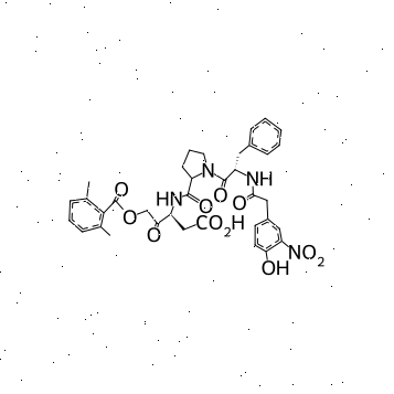 Cc1cccc(C)c1C(=O)OCC(=O)[C@H](CC(=O)O)NC(=O)C1CCCN1C(=O)[C@H](Cc1ccccc1)NC(=O)Cc1ccc(O)c([N+](=O)[O-])c1